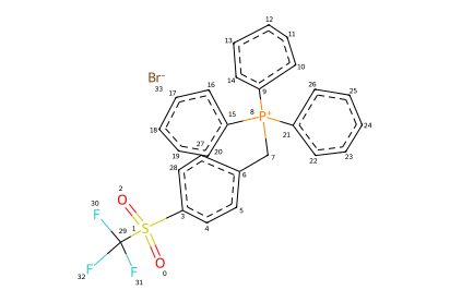 O=S(=O)(c1ccc(C[P+](c2ccccc2)(c2ccccc2)c2ccccc2)cc1)C(F)(F)F.[Br-]